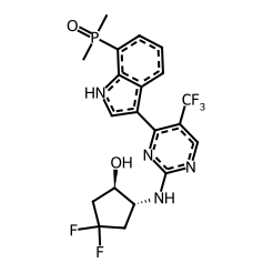 CP(C)(=O)c1cccc2c(-c3nc(N[C@@H]4CC(F)(F)C[C@H]4O)ncc3C(F)(F)F)c[nH]c12